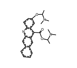 CC(OC(=O)c1c2cc(OC(C)N(C)C)ccc2nc2cc3ccccc3cc12)N(C)C